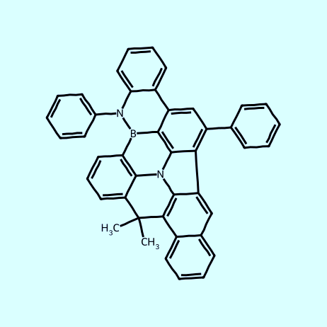 CC1(C)c2cccc3c2-n2c4c1c1ccccc1cc4c1c(-c4ccccc4)cc4c(c12)B3N(c1ccccc1)c1ccccc1-4